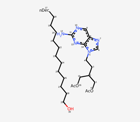 CC(=O)OCC(CCn1cnc2cnc(N)nc21)COC(C)=O.CCCCCCCCCCCCCCCCCCCCCCO